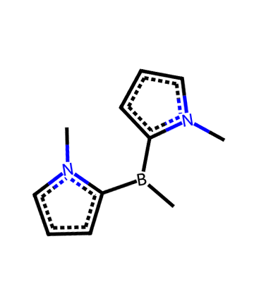 CB(c1cccn1C)c1cccn1C